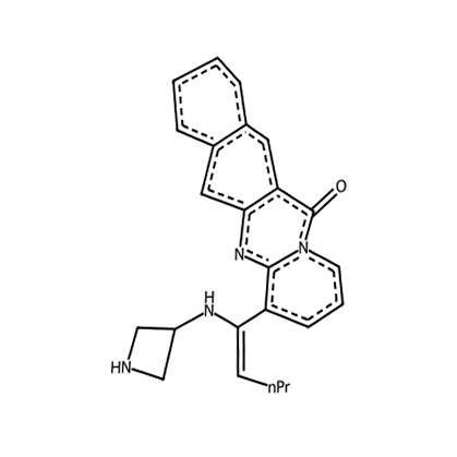 CCC/C=C(/NC1CNC1)c1cccn2c(=O)c3cc4ccccc4cc3nc12